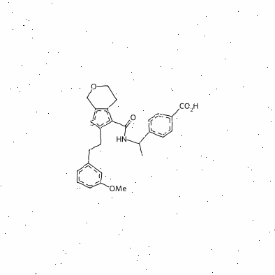 COc1cccc(CCc2sc3c(c2C(=O)NC(C)c2ccc(C(=O)O)cc2)CCOC3)c1